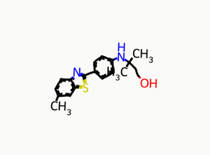 Cc1ccc2nc(-c3ccc(NC(C)(C)CCO)cc3)sc2c1